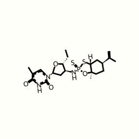 C=C(C)[C@H]1CC[C@@]2(C)O[P@](=S)(N[C@H]3C[C@H](n4cc(C)c(=O)[nH]c4=O)O[C@@H]3CC)S[C@@H]2C1